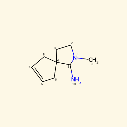 CN1CCC2(CC=CC2)C1N